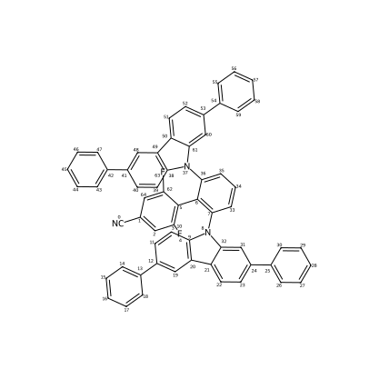 N#Cc1cc(F)c(-c2c(-n3c4ccc(-c5ccccc5)cc4c4ccc(-c5ccccc5)cc43)cccc2-n2c3ccc(-c4ccccc4)cc3c3ccc(-c4ccccc4)cc32)c(F)c1